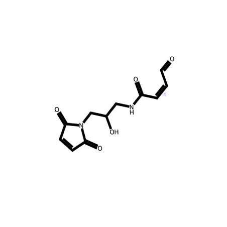 O=C/C=C\C(=O)NCC(O)CN1C(=O)C=CC1=O